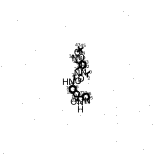 CC(C)NC(=O)N(CC(=O)Nc1ccc2c(c1)CC1(C2)C(=O)Nc2ncccc21)Cc1ccccc1CN(C)C(=O)OC(C)(C)C